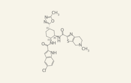 Cc1nnc([C@H]2CC[C@H](NC(=O)c3cc4cc(Cl)ccc4[nH]3)[C@H](NC(=O)c3nc4c(s3)CN(C)CC4)C2)o1